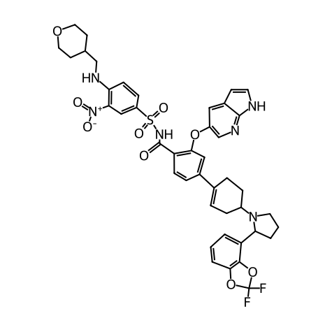 O=C(NS(=O)(=O)c1ccc(NCC2CCOCC2)c([N+](=O)[O-])c1)c1ccc(C2=CCC(N3CCCC3c3cccc4c3OC(F)(F)O4)CC2)cc1Oc1cnc2[nH]ccc2c1